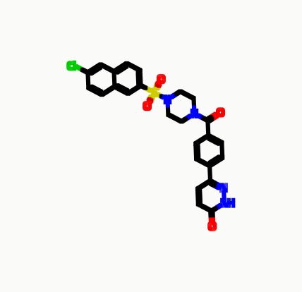 O=C(c1ccc(-c2ccc(=O)[nH]n2)cc1)N1CCN(S(=O)(=O)c2ccc3cc(Cl)ccc3c2)CC1